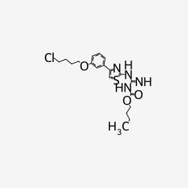 CCCCOC(=O)NC(=N)Nc1nc(-c2cccc(OCCCCCl)c2)cs1